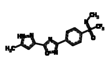 CN=S(=O)(c1ccc(-c2noc(-c3cc(C)[nH]n3)n2)cc1)C(F)(F)F